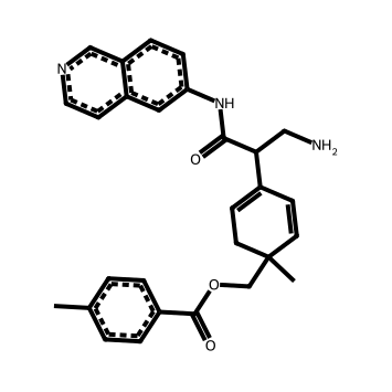 Cc1ccc(C(=O)OCC2(C)C=CC(C(CN)C(=O)Nc3ccc4cnccc4c3)=CC2)cc1